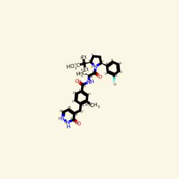 CCC(CC)(C(=O)O)[C@H]1CC[C@@H](c2cccc(F)c2)N1C(=O)[C@@H](C)NC(=O)c1ccc(Cc2ccn[nH]c2=O)c(C)c1